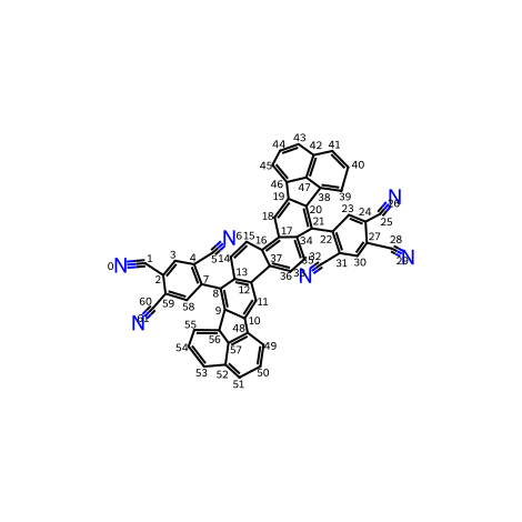 N#Cc1cc(C#N)c(-c2c3c(cc4c2ccc2c5cc6c(c(-c7cc(C#N)c(C#N)cc7C#N)c5ccc42)-c2cccc4cccc-6c24)-c2cccc4cccc-3c24)cc1C#N